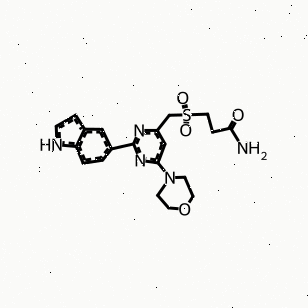 NC(=O)CCS(=O)(=O)Cc1cc(N2CCOCC2)nc(-c2ccc3[nH]ccc3c2)n1